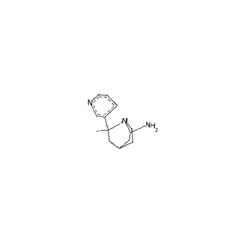 CC1(c2cccnc2)CC2CCN1C(N)C2